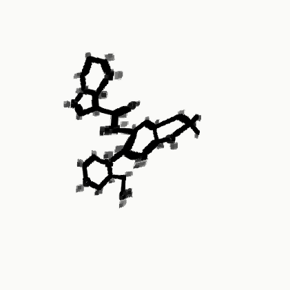 CC1(C)Cc2cc(NC(=O)c3cnn4cccnc34)c(N3CCOC[C@@H]3CO)nc2O1